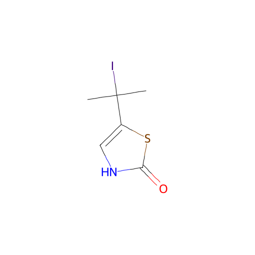 CC(C)(I)c1c[nH]c(=O)s1